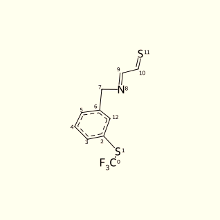 FC(F)(F)Sc1cccc(CN=CC=S)c1